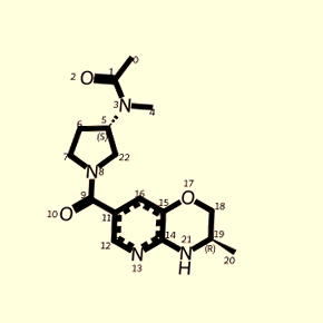 CC(=O)N(C)[C@H]1CCN(C(=O)c2cnc3c(c2)OC[C@@H](C)N3)C1